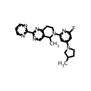 CC1CCN(c2cc(F)nc(N3CCc4nc(-c5ncccn5)ncc4C3C)c2)C1